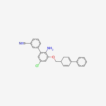 N#Cc1cccc(-c2cc(Cl)cc(OCC3C=CC(c4ccccc4)=CC3)c2N)c1